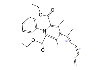 C=C/C=C\C=C(/C)N1C(C)=C(C(=O)OCC)N(c2ccccc2)C(C(=O)OCC)=C1C